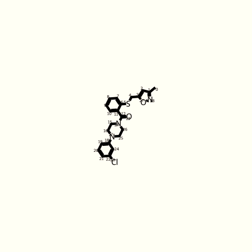 Cc1cc(CSc2ccccc2C(=O)N2CCN(c3cccc(Cl)c3)CC2)on1